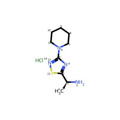 C[C@H](N)c1nc(N2CCCCC2)ns1.Cl